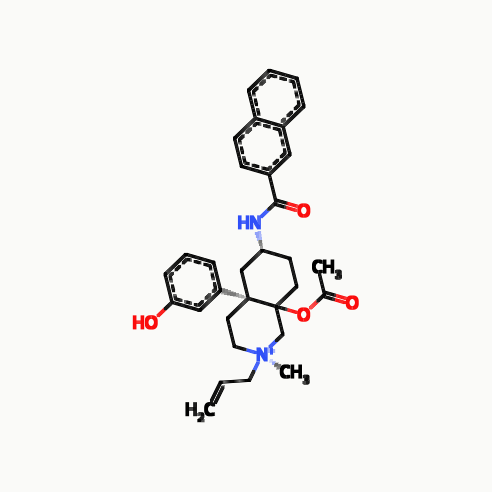 C=CC[N@@+]1(C)CC[C@@]2(c3cccc(O)c3)C[C@H](NC(=O)c3ccc4ccccc4c3)CCC2(OC(C)=O)C1